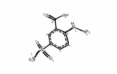 NNc1ccc(S(N)(=O)=O)cc1C(=O)O